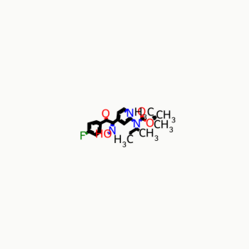 CCC(C)N(C(=O)OC(C)(C)C)c1cc(/C(=N/O)C(=O)c2ccc(F)cc2)ccn1